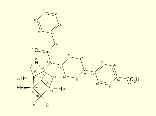 C[C@H]1[C@@H](N(C(=O)Cc2ccccc2)C2CCN(c3ccc(C(=O)O)cc3)CC2)C[C@@H]2C[C@@H]1C2(C)C